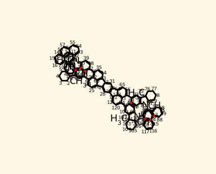 CC12CCCCC1(C)N(c1cccc3ccccc13)c1ccc(-c3ccc4c5cc6c(cc5c5ccc(-c7ccc8c(c7)C7(C)CCCCC7(C)N8c7cccc8ccccc78)c3c45)c3ccc(-c4ccc5c(c4)C4(C)CCCCC4(C)N5c4cccc5ccccc45)c4c(-c5ccc7c(c5)C5(C)CCCCC5(C)N7c5cccc7ccccc57)ccc6c43)cc12